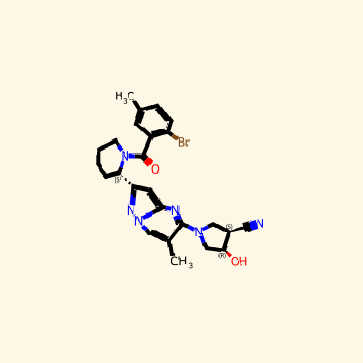 Cc1ccc(Br)c(C(=O)N2CCCC[C@H]2c2cc3nc(N4C[C@@H](C#N)[C@@H](O)C4)c(C)cn3n2)c1